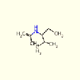 C=C(C)NC(CC)C(C)C